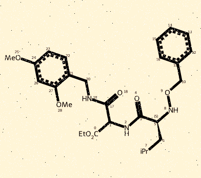 CCOC(=O)C(NC(=O)[C@H](CC(C)C)NOCc1ccccc1)C(=O)NCc1ccc(OC)cc1OC